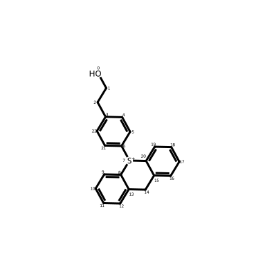 OCCc1ccc([S+]2c3ccccc3Cc3ccccc32)cc1